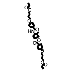 C=CC(=O)OCCCCOc1ccc(C(=O)Nc2ccc(OC(=O)c3ccc(OCCCCOC(=O)C=C)cc3)cc2C)cc1